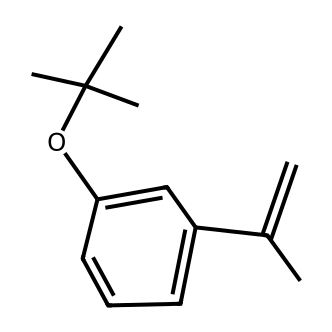 C=C(C)c1cccc(OC(C)(C)C)c1